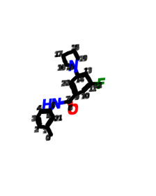 Cc1cccc(NC(=O)c2cc(F)cc(N3CCCC3)c2)c1